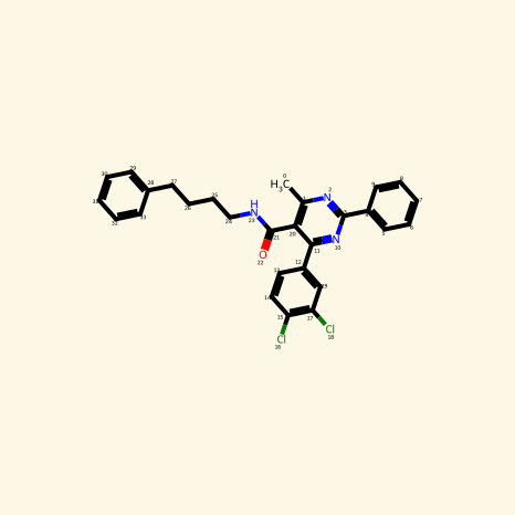 Cc1nc(-c2ccccc2)nc(-c2ccc(Cl)c(Cl)c2)c1C(=O)NCCCCc1ccccc1